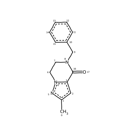 Cc1cc2n(n1)CCN(Cc1ccccc1)C2=O